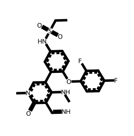 CCS(=O)(=O)Nc1ccc(Oc2ccc(F)cc2F)c(-c2cn(C)c(=O)c(C=N)c2NC)c1